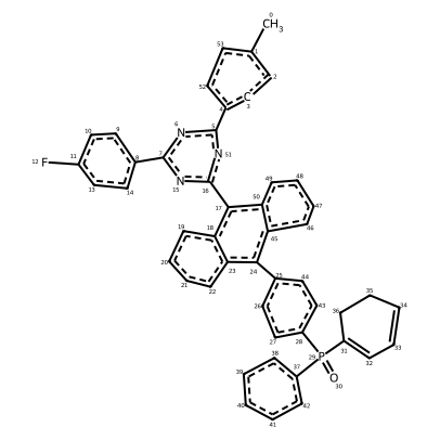 Cc1ccc(-c2nc(-c3ccc(F)cc3)nc(-c3c4ccccc4c(-c4ccc(P(=O)(C5=CC=CCC5)c5ccccc5)cc4)c4ccccc34)n2)cc1